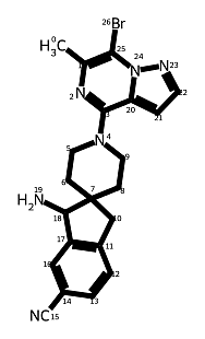 Cc1nc(N2CCC3(CC2)Cc2ccc(C#N)cc2C3N)c2ccnn2c1Br